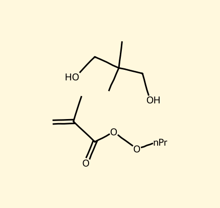 C=C(C)C(=O)OOCCC.CC(C)(CO)CO